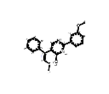 COc1cccc(-c2ncc(/C(=C\SC)c3ccccc3)c(Cl)n2)c1